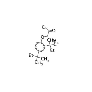 CCC(C)(C)c1ccc(OCC(=O)Cl)c(C(C)(C)CC)c1